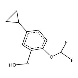 O[CH]c1cc(C2CC2)ccc1OC(F)F